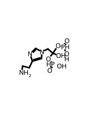 NCCc1cn(CC(O)(O[PH](=O)O)O[PH](=O)O)cn1